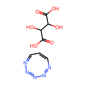 C1=CN=NN=NN=C1.O=C(O)C(O)C(O)C(=O)O